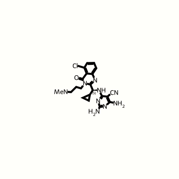 CNCCCn1c([C@@H](Nc2nc(N)nc(N)c2C#N)C2CC2)nc2cccc(Cl)c2c1=O